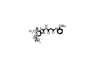 CC(C)COc1ccccc1NC(=O)CC(=O)Nc1nc(CNS(C)(=O)=O)c(S(C)(=O)=O)s1